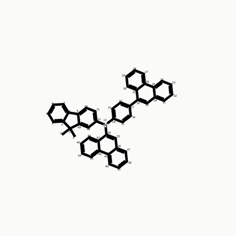 CC1(C)c2ccccc2-c2ccc(N(c3ccc(-c4cc5ccccc5c5ccccc45)cc3)c3cc4ccccc4c4ccccc34)cc21